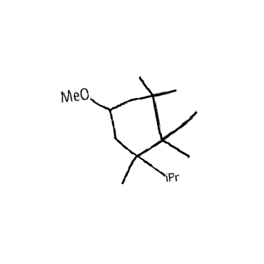 COC1CC(C)(C(C)C)C(C)(C)C1(C)C